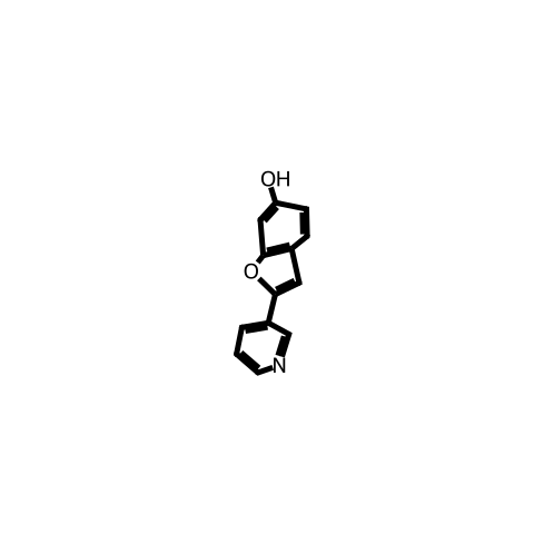 Oc1ccc2cc(-c3cccnc3)oc2c1